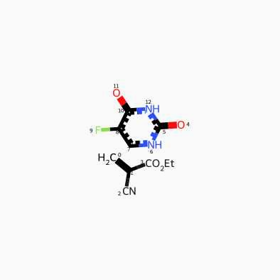 C=C(C#N)C(=O)OCC.O=c1[nH]cc(F)c(=O)[nH]1